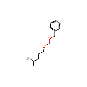 CC(Br)CCCOCOCc1ccccc1